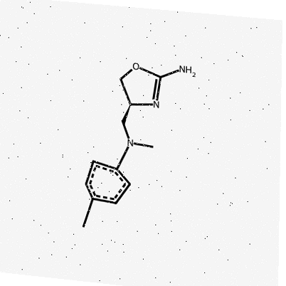 Cc1ccc(N(C)C[C@H]2COC(N)=N2)cc1